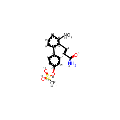 NC(=O)C=Cc1c(-c2ccc(OS(=O)(=O)C(F)(F)F)cc2)cccc1[N+](=O)[O-]